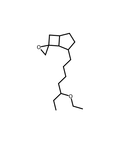 CCOC(CC)CCCCC1CCC2CC3(CO3)C12